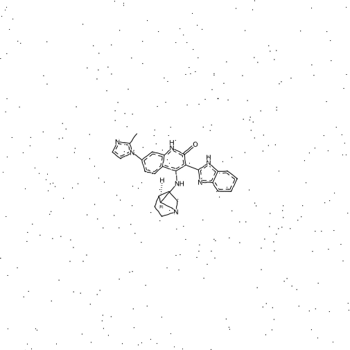 Cc1nccn1-c1ccc2c(N[C@H]3CN4CCC3CC4)c(-c3nc4ccccc4[nH]3)c(=O)[nH]c2c1